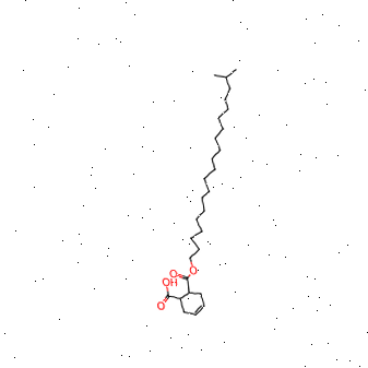 CC(C)CCCCCCCCCCCCCCCCCCOC(=O)C1CC=CCC1C(=O)O